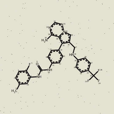 Cc1ccc(F)c(NC(=O)Nc2ccc(-c3c(CNc4ccc(C(F)(F)F)cc4)cn4ncnc(N)c34)cc2)c1